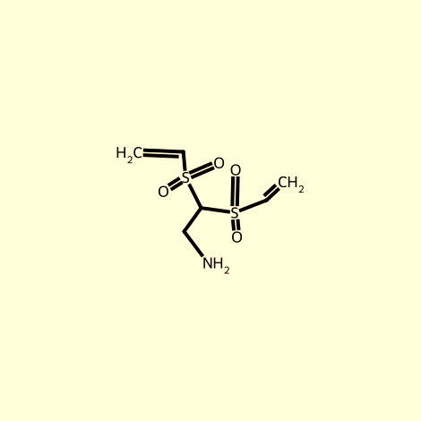 C=CS(=O)(=O)C(CN)S(=O)(=O)C=C